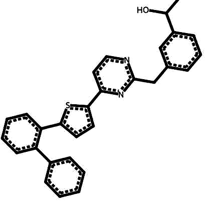 CC(O)c1cccc(Cc2nccc(-c3ccc(-c4ccccc4-c4ccccc4)s3)n2)c1